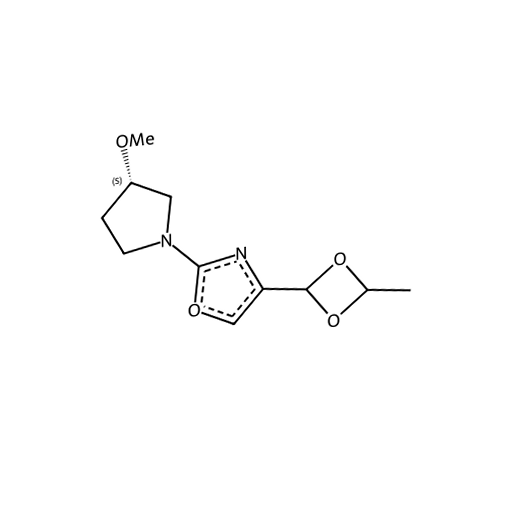 CO[C@H]1CCN(c2nc(C3OC(C)O3)co2)C1